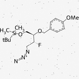 COc1ccc(CO[C@H](CO[Si](C)(C)C(C)(C)C)[C@H](F)CN=[N+]=[N-])cc1